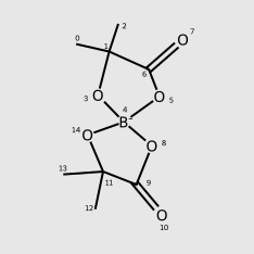 CC1(C)O[B-]2(OC1=O)OC(=O)C(C)(C)O2